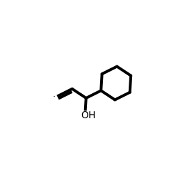 [CH]=CC(O)C1CCCCC1